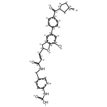 O=C(O)Nc1ccc(CNC(=O)/C=C/C2Cc3cc(-c4ccc(C(=O)N5CC[C@@H](F)C5)cc4)cc(Cl)c3O2)cn1